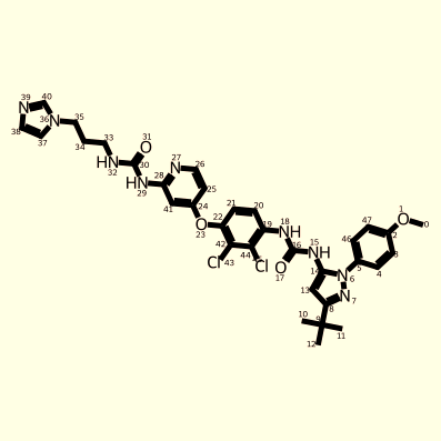 COc1ccc(-n2nc(C(C)(C)C)cc2NC(=O)Nc2ccc(Oc3ccnc(NC(=O)NCCCn4ccnc4)c3)c(Cl)c2Cl)cc1